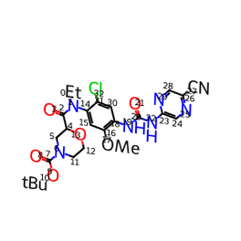 CCN(C(=O)C1CN(C(=O)OC(C)(C)C)CCO1)c1cc(OC)c(NC(=O)Nc2cnc(C#N)cn2)cc1Cl